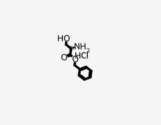 Cl.N[C@H](CO)C(=O)OCc1ccccc1